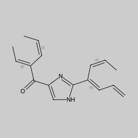 C=C/C=C(\C=C/C)c1nc(C(=O)C(/C=C\C)=C/C)c[nH]1